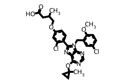 COc1ccc(Cl)cc1Cn1c(-c2ccc(OCC(C)CC(=O)O)cc2Cl)nc2c(OC3(C)CC3)ncnc21